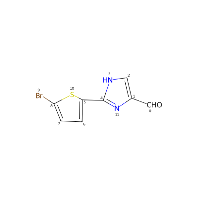 O=Cc1c[nH]c(-c2ccc(Br)s2)n1